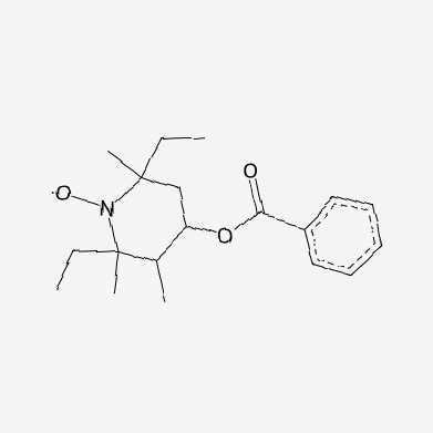 CCC1(C)CC(OC(=O)c2ccccc2)C(C)C(C)(CC)N1[O]